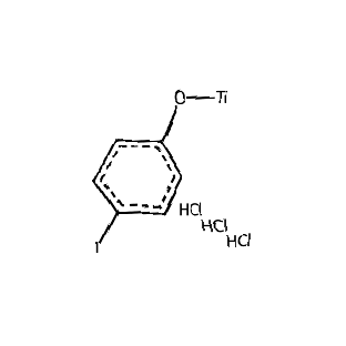 Cl.Cl.Cl.[Ti][O]c1ccc(I)cc1